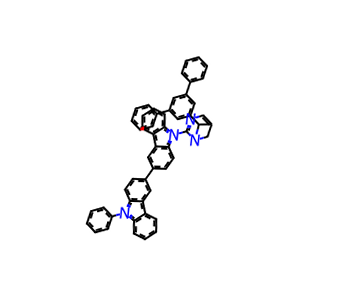 C1=C2CN(C(n3c4ccccc4c4cc(-c5ccc6c(c5)c5ccccc5n6-c5ccccc5)ccc43)=N1)C2c1cc(-c2ccccc2)cc(-c2ccccc2)c1